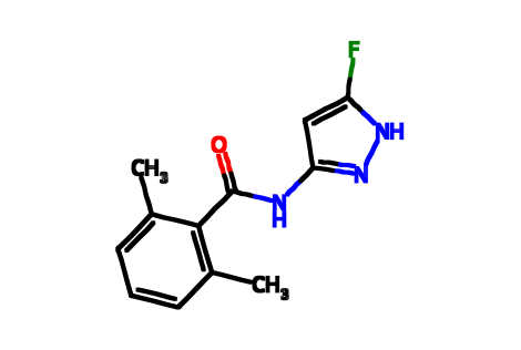 Cc1cccc(C)c1C(=O)Nc1cc(F)[nH]n1